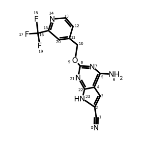 N#Cc1cc2c(N)nc(OCc3ccnc(C(F)(F)F)c3)nc2[nH]1